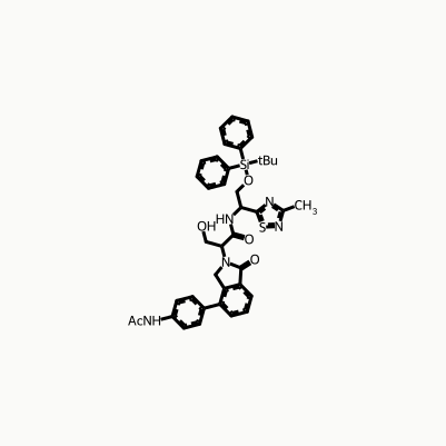 CC(=O)Nc1ccc(-c2cccc3c2CN(C(CO)C(=O)NC(CO[Si](c2ccccc2)(c2ccccc2)C(C)(C)C)c2nc(C)ns2)C3=O)cc1